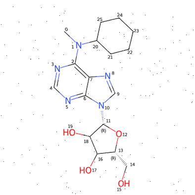 CN(c1ncnc2c1ncn2[C@@H]1O[C@H](CO)C(O)C1O)C1CCCCC1